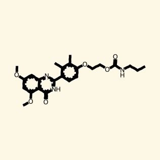 CCCNC(=O)OCCOc1ccc(-c2nc3cc(OC)cc(OC)c3c(=O)[nH]2)c(C)c1C